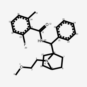 COCCN1C2CCC1(C(NC(=O)c1c(C)cccc1F)c1ccccc1)CC2